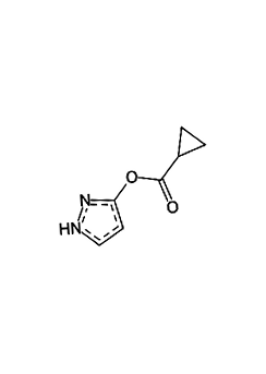 O=C(Oc1cc[nH]n1)C1CC1